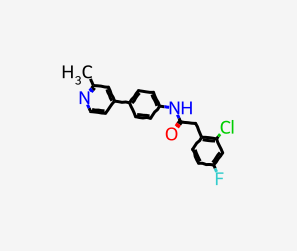 Cc1cc(-c2ccc(NC(=O)Cc3ccc(F)cc3Cl)cc2)ccn1